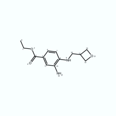 CCOC(=O)c1ccc(NCC2COC2)c(N)c1